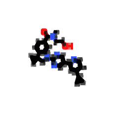 CN(CCO)C(=O)c1ccc2c(c1)N(c1ncc(-c3cc(C4CC4)ccn3)cn1)CC21CC1